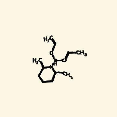 CCO[SiH](OCC)N1C(C)CCCC1C